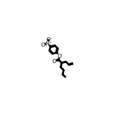 C=CCC(CCCC)C(=O)Oc1ccc([N+](=O)[O-])cc1